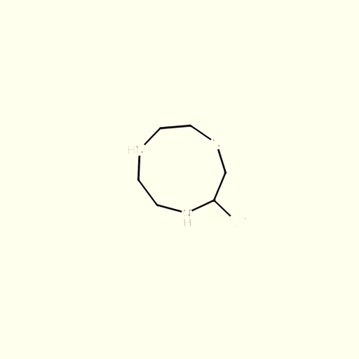 CC(=O)OC1CNCCNCCN1